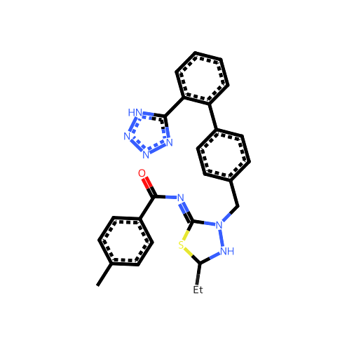 CCC1NN(Cc2ccc(-c3ccccc3-c3nnn[nH]3)cc2)C(=NC(=O)c2ccc(C)cc2)S1